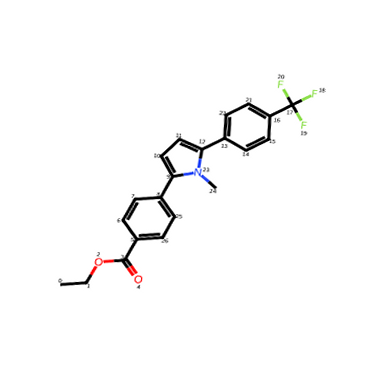 CCOC(=O)c1ccc(-c2ccc(-c3ccc(C(F)(F)F)cc3)n2C)cc1